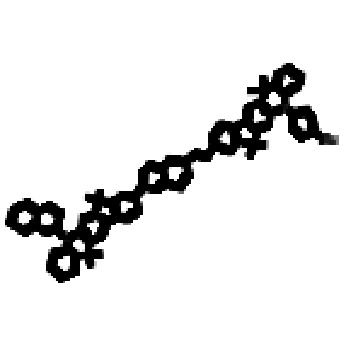 CC(C)(C)c1ccc(N2c3ccccc3C(C)(C)c3cc4c(cc32)C(C)(C)c2cc(/C=C/c3ccc5cc(-c6ccc7c(c6)C(C)(C)c6cc8c(cc6-7)C(C)(C)c6ccccc6N8c6ccc7ccccc7c6)ccc5c3)ccc2-4)cc1